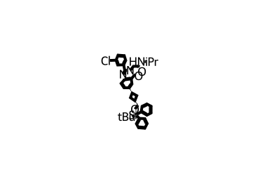 CC(C)NC(=O)Cn1c(-c2cccc(Cl)c2)nc2ccc([C@H]3C[C@@H](CO[Si](c4ccccc4)(c4ccccc4)C(C)(C)C)C3)cc2c1=O